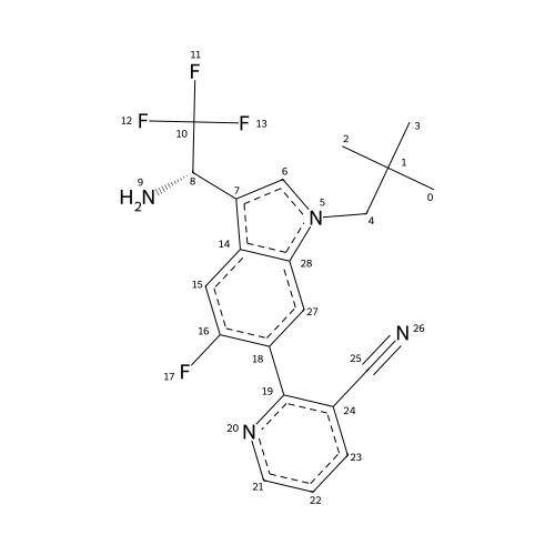 CC(C)(C)Cn1cc([C@H](N)C(F)(F)F)c2cc(F)c(-c3ncccc3C#N)cc21